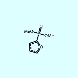 COP(=O)(OC)c1ccco1